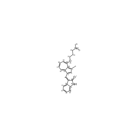 Cc1cc(C=C2C(=O)Nc3ncccc32)c2ccccc(OCCCN(C)C)c1-2